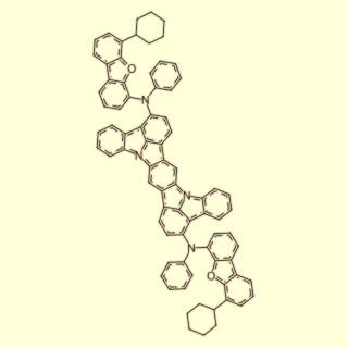 c1ccc(N(c2cccc3c2oc2c(C4CCCCC4)cccc23)c2ccc3c4cc5c(cc4n4c6ccccc6c2c34)c2ccc(N(c3ccccc3)c3cccc4c3oc3c(C6CCCCC6)cccc34)c3c4ccccc4n5c23)cc1